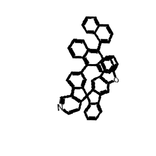 c1ccc2c(c1)-c1cc3oc4ccccc4c3cc1C21c2ccncc2-c2ccc(-c3c4ccccc4c(-c4cccc5ccccc45)c4ccccc34)cc21